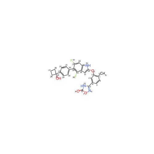 Cc1ccc(-c2noc(=O)[nH]2)cc1Oc1cc2c(F)c(-c3ccc(C4(O)CCC4)cc3)c(F)cc2[nH]1